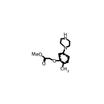 COC(=O)COc1cc(N2CCNCC2)ccc1C